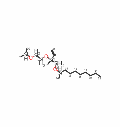 C=C[Si](C)(O[SiH2][SiH2]O[SiH](C)C)[SiH2]O[SiH](C)CCCCCCCC